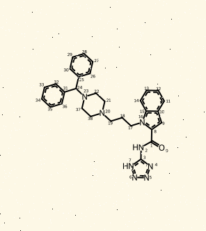 O=C(Nc1nnn[nH]1)c1cc2ccccc2n1CCCN1CCN(C(c2ccccc2)c2ccccc2)CC1